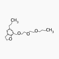 CCCCOCCOCCOCc1cc(CCC)cc2c1OCC2